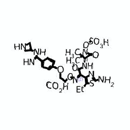 CCc1sc(N)nc1/C(=N/OC(COc1ccc(C(=N)NC2CNC2)cc1)C(=O)O)C(=O)N[C@@H]1C(=O)N(OS(=O)(=O)O)C1(C)C